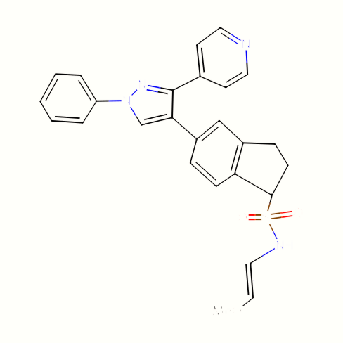 CO/C=C/NS(=O)(=O)C1CCc2cc(-c3cn(-c4ccccc4)nc3-c3ccncc3)ccc21